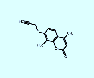 C#CCOc1ccc2c(C)cc(=O)oc2c1C